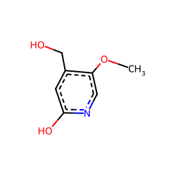 COc1cnc(O)cc1CO